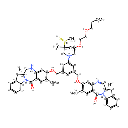 COCCOCCOCCN(CC(C)(C)S(C)=S)c1cc(COc2cc3c(cc2OC)C(=O)N2c4ccccc4C[C@@H]2C=N3)cc(COc2cc3c(cc2OC)C(=O)N2c4ccccc4C[C@H]2CN3)c1